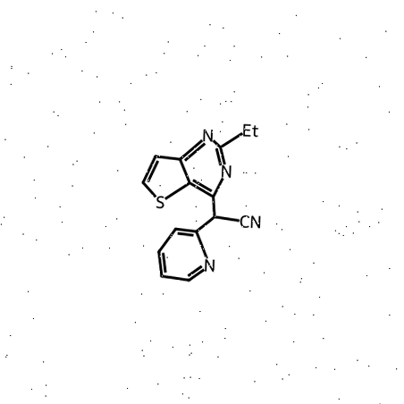 CCc1nc(C(C#N)c2ccccn2)c2sccc2n1